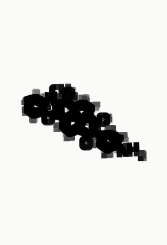 CN(c1ccccc1)N1C(=O)c2ccc3c4c(ccc(c24)C1=O)C(=O)N(c1ccc(N)cc1)C3=O